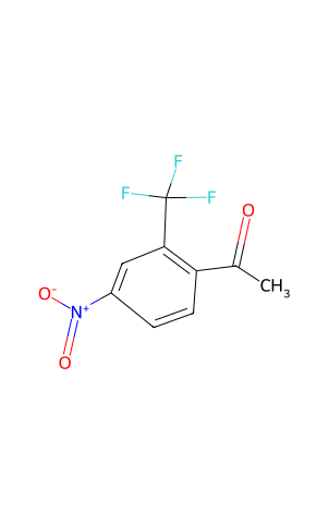 CC(=O)c1ccc([N+](=O)[O-])cc1C(F)(F)F